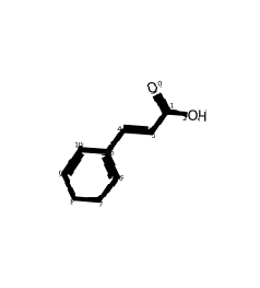 O=C(O)C=CC1=CCCC=C1